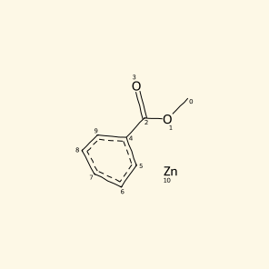 COC(=O)c1ccccc1.[Zn]